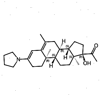 CC(=O)[C@@]1(O)CC[C@H]2[C@@H]3CC(C)=C4C=C(N5CCCC5)CC[C@]4(C)[C@H]3CC[C@@]21C